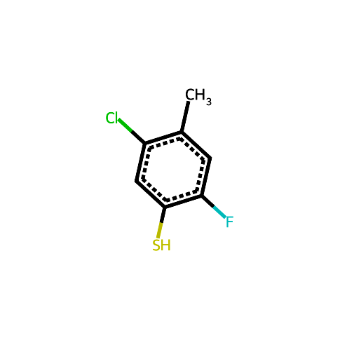 Cc1cc(F)c(S)cc1Cl